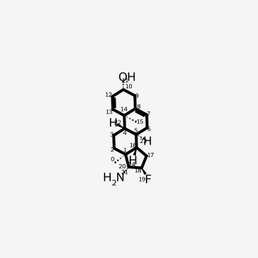 C[C@]12CC[C@H]3[C@@H](CC=C4C[C@@H](O)C=C[C@@]43C)[C@@H]1C[C@@H](F)[C@@H]2N